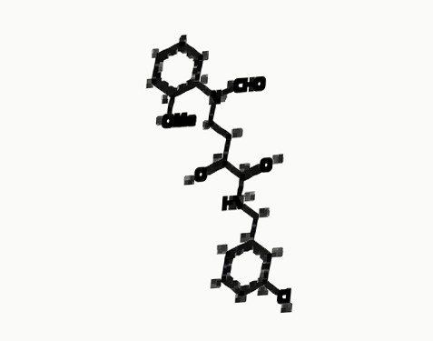 COc1ccccc1N(C=O)CCC(=O)C(=O)NCc1cccc(Cl)c1